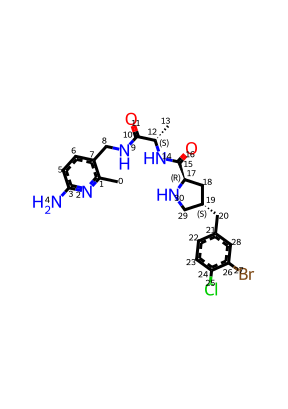 Cc1nc(N)ccc1CNC(=O)[C@H](C)NC(=O)[C@H]1C[C@H](Cc2ccc(Cl)c(Br)c2)CN1